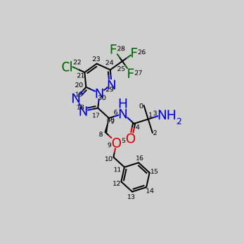 CC(C)(N)C(=O)N[C@@H](COCc1ccccc1)c1nnc2c(Cl)cc(C(F)(F)F)nn12